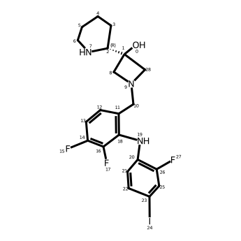 OC1([C@H]2CCCCN2)CN(Cc2ccc(F)c(F)c2Nc2ccc(I)cc2F)C1